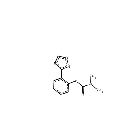 CN(C)C(=O)Oc1ccccc1-c1ncon1